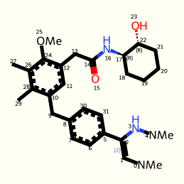 CN/C=C(\NNC)c1ccc(Cc2cc(CC(=O)N[C@@H]3CCCC[C@H]3O)c(OC)c(C)c2C)cc1